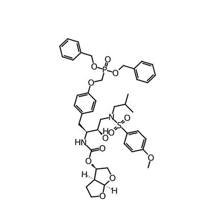 COc1ccc(S(=O)(=O)N(CC(C)C)C[C@@H](O)[C@H](Cc2ccc(OCP(=O)(OCc3ccccc3)OCc3ccccc3)cc2)NC(=O)O[C@H]2CO[C@H]3OCC[C@H]32)cc1